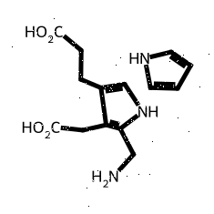 NCc1[nH]cc(CCC(=O)O)c1CC(=O)O.c1cc[nH]c1